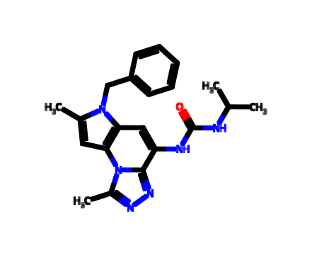 Cc1cc2c(cc(NC(=O)NC(C)C)c3nnc(C)n32)n1Cc1ccccc1